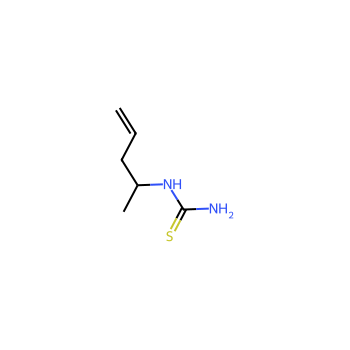 C=CCC(C)NC(N)=S